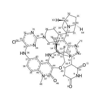 Cn1nc(C2CCC(=O)NC2=O)c2cccc(C3C[C@@H]4CC[C@@H](C3)N4CC3CCN(c4ncc(Cl)c(Nc5ccc6c(c5)c5c(c(=O)n6C)OCC(F)(F)[C@H](C6CC6)N5)n4)CC3)c21